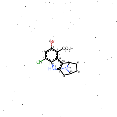 O=C(O)c1c(Br)cc(Cl)c2[nH]c3c(c12)C1CCC(C3)N1